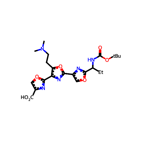 CCC(NC(=O)OC(C)(C)C)c1nc(-c2nc(-c3nc(C(=O)O)co3)c(CCN(C)C)o2)co1